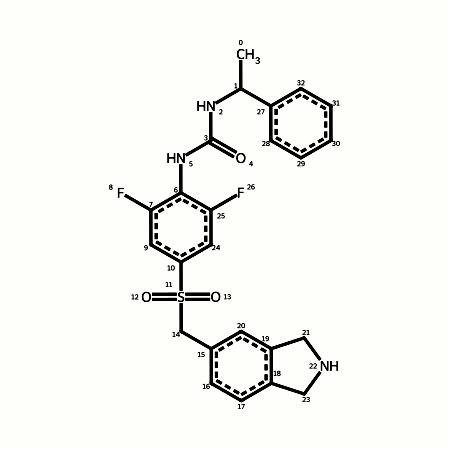 CC(NC(=O)Nc1c(F)cc(S(=O)(=O)Cc2ccc3c(c2)CNC3)cc1F)c1ccccc1